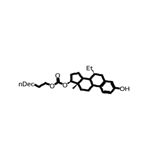 CCCCCCCCCCCCOC(=O)O[C@H]1CCC2C3C(CC[C@@]21C)c1ccc(O)cc1C[C@H]3CC